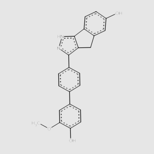 COc1cc(-c2ccc(-c3n[nH]c4c3Cc3cc(O)ccc3-4)cc2)ccc1O